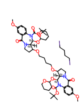 COc1ccc2c(c1)C(=O)N1CCC(OCCCCOC3CCN4C(=O)c5cc(OC)ccc5N(C(=O)OC(C)(C)C)[C@@H](OC5CCCCO5)[C@H]34)[C@H]1[C@H](OC1CCCCO1)N2C(=O)OC(C)(C)C.ICCCCI